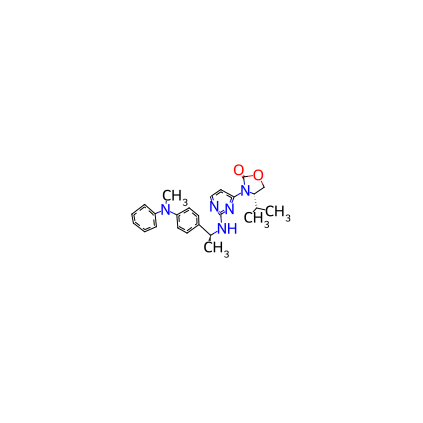 CC(C)[C@H]1COC(=O)N1c1ccnc(N[C@@H](C)c2ccc(N(C)c3ccccc3)cc2)n1